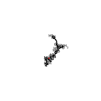 C=C(NCC(=O)N(C)C([C@@H](C)CC)[C@@H](CC(=O)N1CCC[C@H]1[C@H](OC)[C@@H](C)C(=O)NCC(=O)NCc1ccc(NC(=O)[C@H](CCCNC(N)=O)NC(=O)CNC(=O)CCCC#Cc2cnc(S)nc2)cc1)OC)C(C(C)C)N(C)C